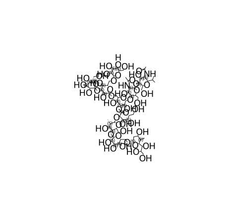 CC(=O)N[C@@H]1C(O[C@@H]2C(CO)OC(C(C)C)[C@@H](NC(C)=O)[C@H]2O)OC(CO)[C@@H](OC2OC(COC3OC(COC4OC(CO)[C@@H](O)[C@H](O)[C@H]4O)[C@@H](O)[C@H](OC4O[C@@H](CO)[C@@H](O)[C@H](O)C4O)[C@H]3O)[C@@H](O)[C@H](O[C@H]3OC(CO)[C@@H](O)[C@H](O)C3OC3OC(CO)[C@@H](OC4OC(CO[C@@H]5CC(O)[C@@H](C)C(C(O)C(O)CO)O5)[C@H](O)[C@H](O)[C@@H]4O)[C@H](O)[C@@H]3C)[C@H]2O)[C@@H]1O